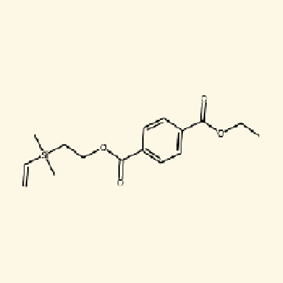 C=C[Si](C)(C)CCOC(=O)c1ccc(C(=O)OCC)cc1